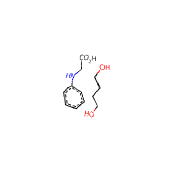 O=C(O)CNc1ccccc1.OCCCCO